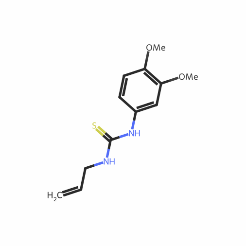 C=CCNC(=S)Nc1ccc(OC)c(OC)c1